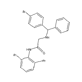 CC(C)c1cccc(C(C)C)c1NC(=O)CNC(c1ccccc1)c1ccc(Br)cc1